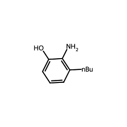 CCCCc1cccc(O)c1N